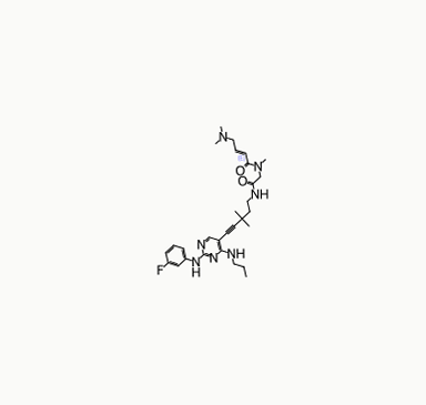 CCCNc1nc(Nc2cccc(F)c2)ncc1C#CC(C)(C)CCNC(=O)CN(C)C(=O)/C=C/CN(C)C